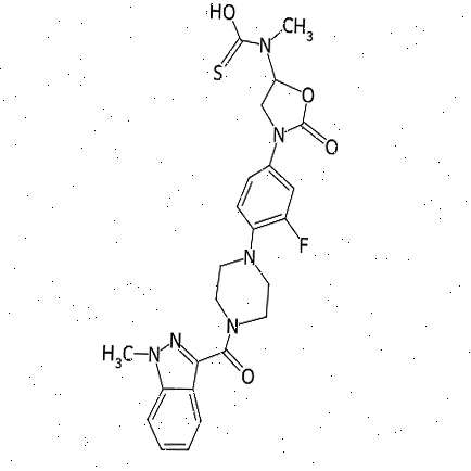 CN(C(O)=S)C1CN(c2ccc(N3CCN(C(=O)c4nn(C)c5ccccc45)CC3)c(F)c2)C(=O)O1